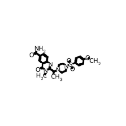 COc1ccc(S(=O)(=O)N2CCN(C(C)c3nc4ccc(C(N)=O)cc4c(=O)n3C)CC2)cc1